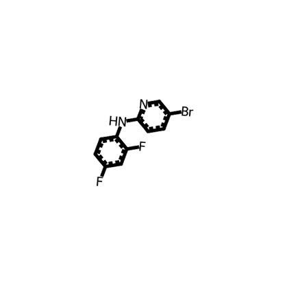 Fc1ccc(Nc2ccc(Br)cn2)c(F)c1